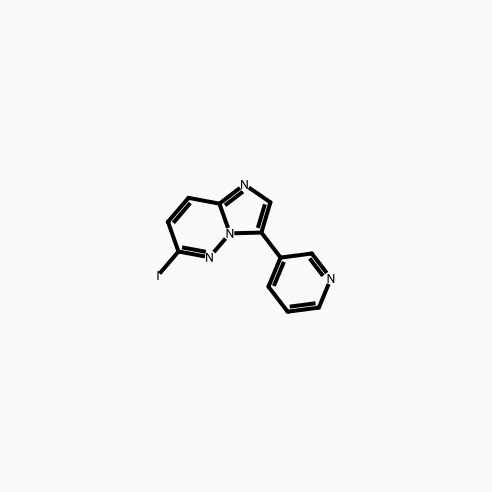 Ic1ccc2ncc(-c3cccnc3)n2n1